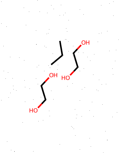 CCC.OCCO.OCCO